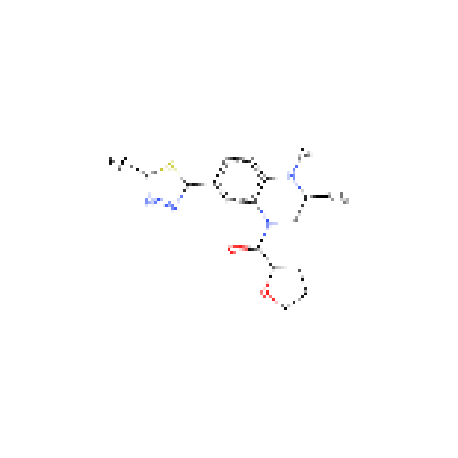 CC(=O)N1c2ccc(C3N=NC(C)S3)cc2N(C(=O)C2CCCO2)C[C@@H]1C